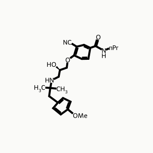 CCCNC(=O)c1ccc(OC[C@H](O)CNC(C)(C)Cc2ccc(OC)cc2)c(C#N)c1